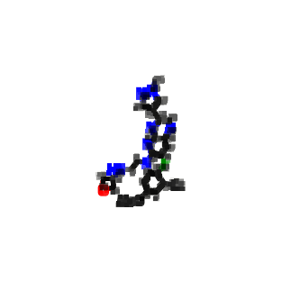 CCc1cc(OC)cc(N(CCNC2COC2)c2ccc3ncc(-c4cnn(C)c4)nc3n2)c1F